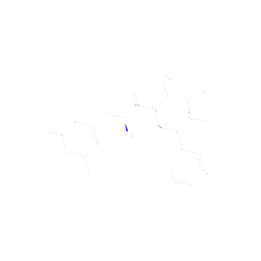 Cc1cc(C)cc(C[C@H](N)C(=O)N(CC#N)C(=O)C(c2cccnc2)N2CCCC2)c1